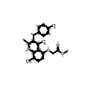 COC(=O)COc1ccc(Cl)c2nc(C)c(Cc3ccc(Cl)cc3)c(Cl)c12